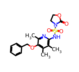 Cc1nc(NS(=O)(=O)N2CCOC2=O)c(C)c(C)c1OCc1ccccc1